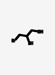 OCC(S)CBr